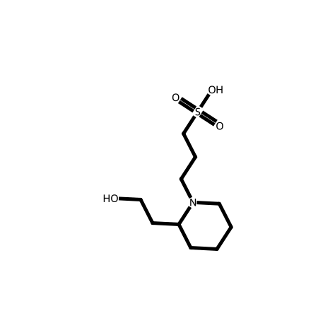 O=S(=O)(O)CCCN1CCCCC1CCO